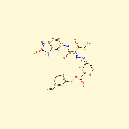 C=Cc1cccc(COC(=O)c2cccc(N/N=C(\C(=O)CF)C(=O)Nc3ccc4[nH]c(=O)[nH]c4c3)c2)c1